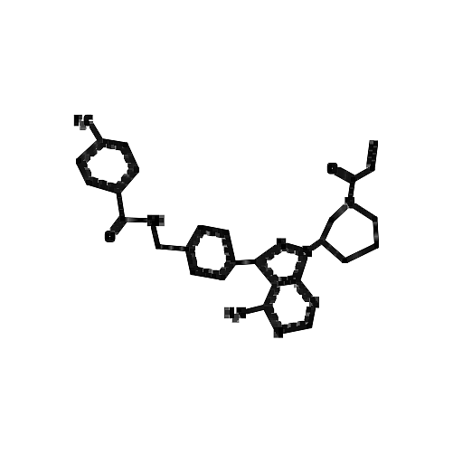 C=CC(=O)N1CCCC(n2nc(-c3ccc(CNC(=O)c4ccc(C(F)(F)F)cc4)cc3)c3c(N)ncnc32)C1